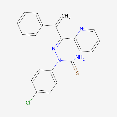 C=C(C(=NN(C(N)=S)c1ccc(Cl)cc1)c1ccccn1)c1ccccc1